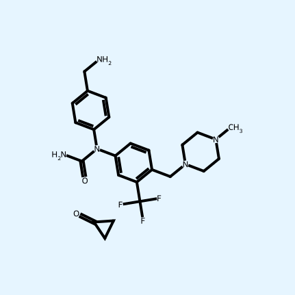 CN1CCN(Cc2ccc(N(C(N)=O)c3ccc(CN)cc3)cc2C(F)(F)F)CC1.O=C1CC1